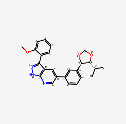 COc1ccccc1-c1n[nH]c2ncc(-c3cccc([C@H]4OCO[C@@H]4C(C)C)c3)cc12